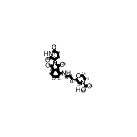 O=C1CCC(N2C(=O)c3cccc(NCCC[C@H]4CN(C(=O)O)CCO4)c3C2=O)C(=O)N1